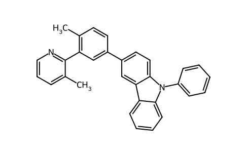 Cc1ccc(-c2ccc3c(c2)c2ccccc2n3-c2ccccc2)cc1-c1ncccc1C